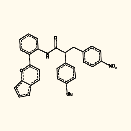 CC(C)(C)c1ccc(C(Cc2ccc([N+](=O)[O-])cc2)C(=O)Nc2ccccc2-c2ccc3cccc-3o2)cc1